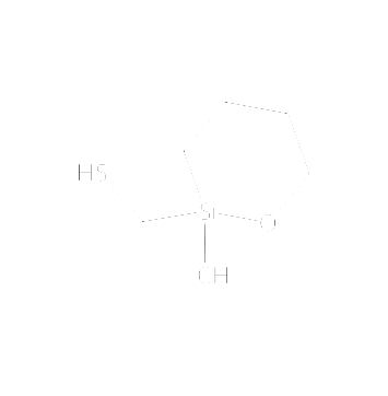 C[Si]1(CS)CCCCO1